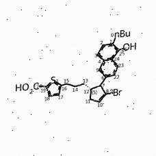 CCCCc1ccc2cc(C3C(Br)=CC[C@@H]3CCCc3ccc(C(=O)O)s3)ccc2c1O